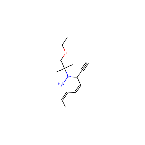 C#CC(/C=C\C=C/C)N(N)C(C)(C)COCC